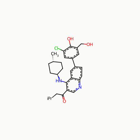 CC(C)CC(=O)c1cnc2ccc(-c3cc(Cl)c(O)c(CO)c3)cc2c1N[C@H]1CC[C@H](C)CC1